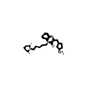 C[C@@H]1CCC[C@H](C)N1CCCCCn1c(=O)c(CC2CCC(N)C2)nc2ccccc21